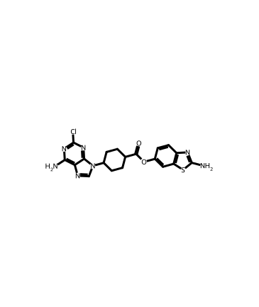 Nc1nc2ccc(OC(=O)C3CCC(n4cnc5c(N)nc(Cl)nc54)CC3)cc2s1